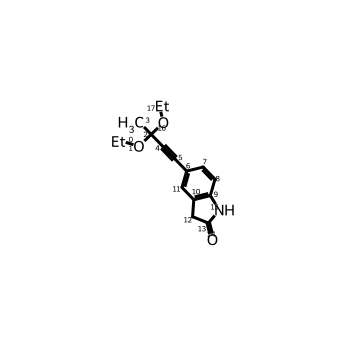 CCOC(C)(C#Cc1ccc2c(c1)CC(=O)N2)OCC